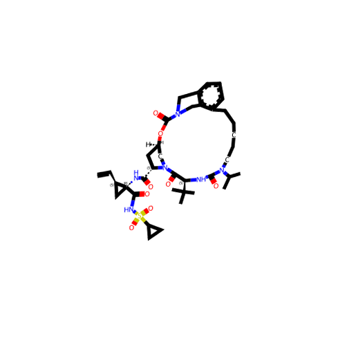 C=C[C@@H]1C[C@]1(NC(=O)[C@@H]1C[C@@H]2CN1C(=O)[C@H](C(C)(C)C)NC(=O)N(C(C)C)CCCCCc1cccc3c1CN(C3)C(=O)O2)C(=O)NS(=O)(=O)C1CC1